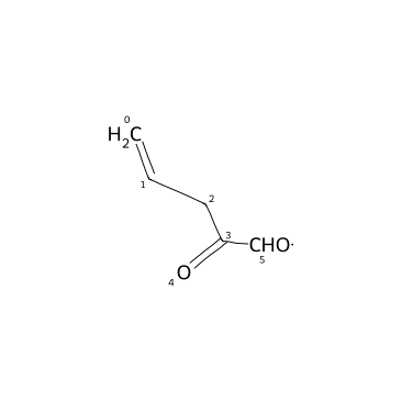 C=CCC(=O)[C]=O